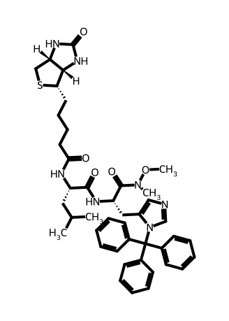 CON(C)C(=O)[C@H](Cc1cncn1C(c1ccccc1)(c1ccccc1)c1ccccc1)NC(=O)[C@H](CC(C)C)NC(=O)CCCC[C@@H]1SC[C@@H]2NC(=O)N[C@@H]21